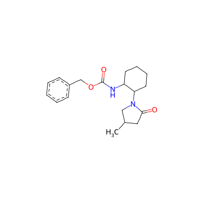 CC1CC(=O)N(C2CCCCC2NC(=O)OCc2ccccc2)C1